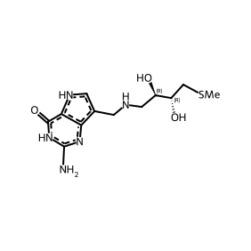 CSC[C@H](O)[C@H](O)CNCc1c[nH]c2c(=O)[nH]c(N)nc12